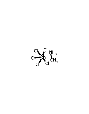 CN.[Cl][Rh]([Cl])([Cl])([Cl])[Cl]